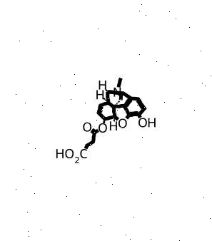 CN1CC[C@]23c4c5ccc(O)c4O[C@H]2[C@@H](OC(=O)CCC(=O)O)C=C[C@H]3[C@H]1C5